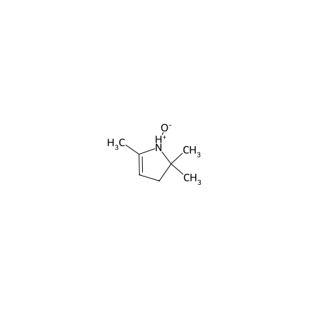 CC1=CCC(C)(C)[NH+]1[O-]